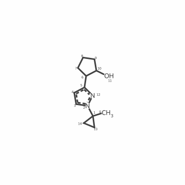 CC1(n2ccc(C3CCCC3O)n2)CC1